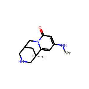 CCCNc1cc2n(c(=O)c1)CC1CNC[C@H]2C1